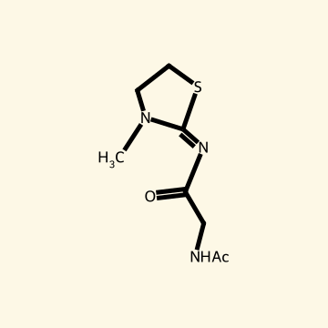 CC(=O)NCC(=O)N=C1SCCN1C